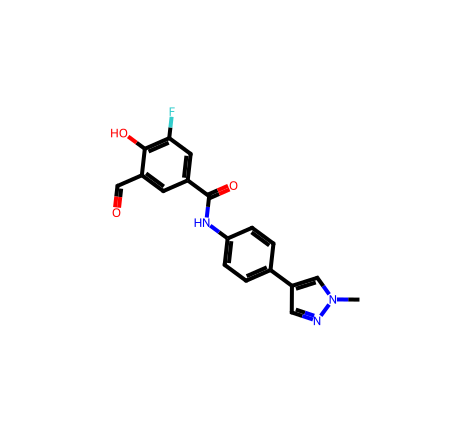 Cn1cc(-c2ccc(NC(=O)c3cc(F)c(O)c(C=O)c3)cc2)cn1